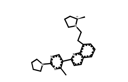 Cc1nc(N2CCCC2)ncc1-c1ccc2cccc(CCN3CCC[C@H]3C)c2n1